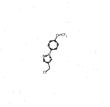 FC(F)(F)Oc1ccc(-n2cc(CCl)cn2)cc1